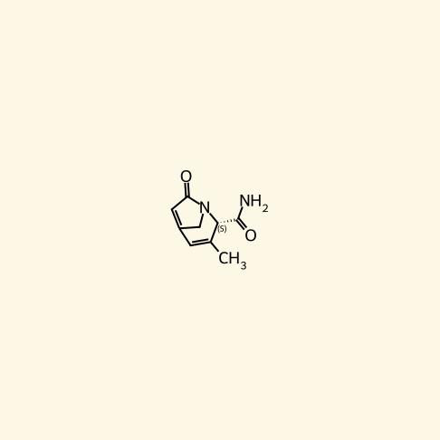 CC1=CC2=CC(=O)N(C2)[C@@H]1C(N)=O